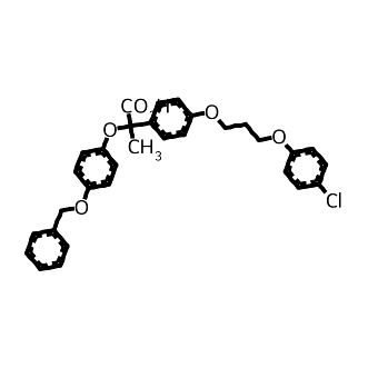 CC(Oc1ccc(OCc2ccccc2)cc1)(C(=O)O)c1ccc(OCCCOc2ccc(Cl)cc2)cc1